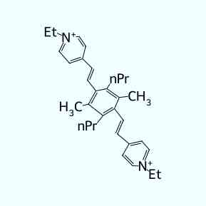 CCCc1c(C)c(/C=C/c2cc[n+](CC)cc2)c(CCC)c(C)c1/C=C/c1cc[n+](CC)cc1